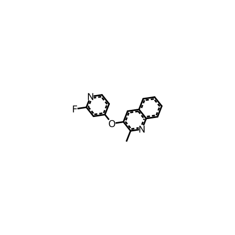 Cc1nc2ccccc2cc1Oc1ccnc(F)c1